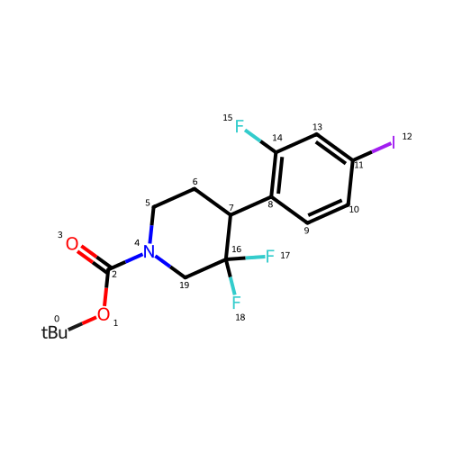 CC(C)(C)OC(=O)N1CCC(c2ccc(I)cc2F)C(F)(F)C1